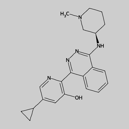 CN1CCC[C@@H](Nc2nnc(-c3ncc(C4CC4)cc3O)c3ccccc23)C1